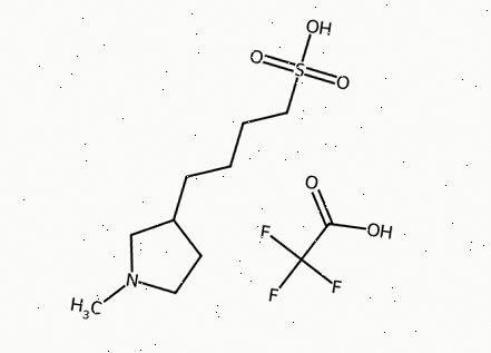 CN1CCC(CCCCS(=O)(=O)O)C1.O=C(O)C(F)(F)F